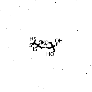 OCC(CO)(CO)COCC(S)(S)C(=S)S